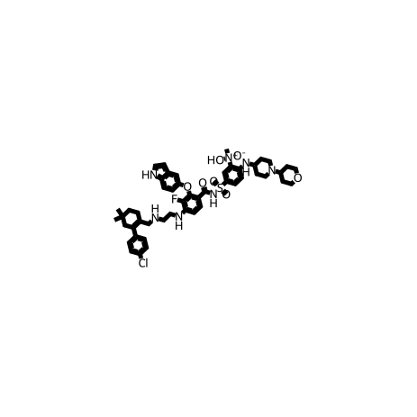 CC1(C)CCC(CNCCNc2ccc(C(=O)NS(=O)(=O)c3ccc(NC4CCN(C5CCOCC5)CC4)c([N+](C)([O-])O)c3)c(Oc3ccc4[nH]ccc4c3)c2F)=C(c2ccc(Cl)cc2)C1